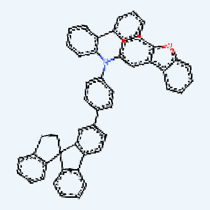 c1ccc(-c2ccccc2N(c2ccc(-c3ccc4c(c3)C3(CCc5ccccc53)c3ccccc3-4)cc2)c2ccc3oc4ccccc4c3c2)cc1